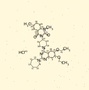 CCOc1cc2nc(N3CCCCCC3)nc(N3CCC(n4c(=O)c5cc(C)ccc5n(C)c4=O)CC3)c2cc1OCC.Cl